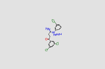 N=NN(C(=N)CCC(=O)c1cc(Cl)cc(Cl)c1)c1cccc(Cl)c1